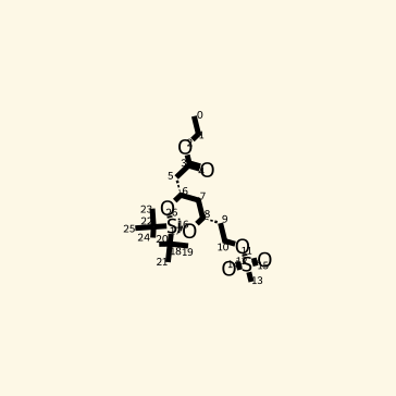 CCOC(=O)C[C@@H]1C[C@H](CCOS(C)(=O)=O)O[Si](C(C)(C)C)(C(C)(C)C)O1